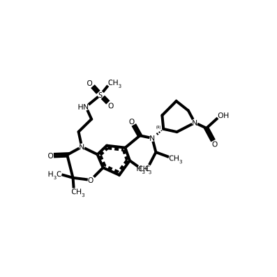 Cc1cc2c(cc1C(=O)N(C(C)C)[C@@H]1CCCN(C(=O)O)C1)N(CCNS(C)(=O)=O)C(=O)C(C)(C)O2